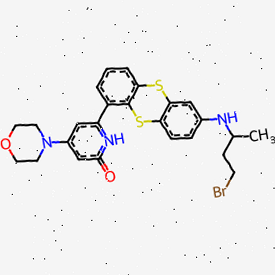 CC(CCBr)Nc1ccc2c(c1)Sc1cccc(-c3cc(N4CCOCC4)cc(=O)[nH]3)c1S2